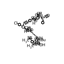 Cc1ncsc1-c1ccc([C@H](C)NC(=O)[C@@H]2C[C@@H](O)CN2C(=O)[C@@H](NC(=O)CCCCCCC(=O)N2C[C@@H]3C[C@H]2CN3CC2(C)CCC(c3ccc(Cl)cc3)=C(CN3CCN(c4ccc(C(=O)NS(=O)(=O)c5ccc(N[C@H](CCN6CCOCC6)CSc6ccccc6)c(S(=O)(=O)C(F)(F)F)c5)cc4)CC3)C2)C(C)(C)C)cc1